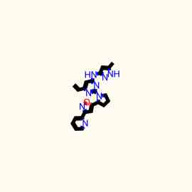 C=Cc1cc(Nc2cc(C)[nH]n2)nc(N2CCCC2c2cc(-c3ccccn3)no2)n1